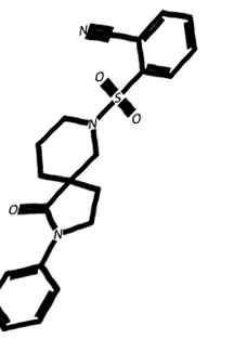 N#Cc1ccccc1S(=O)(=O)N1CCCC2(CCN(c3ccccc3)C2=O)C1